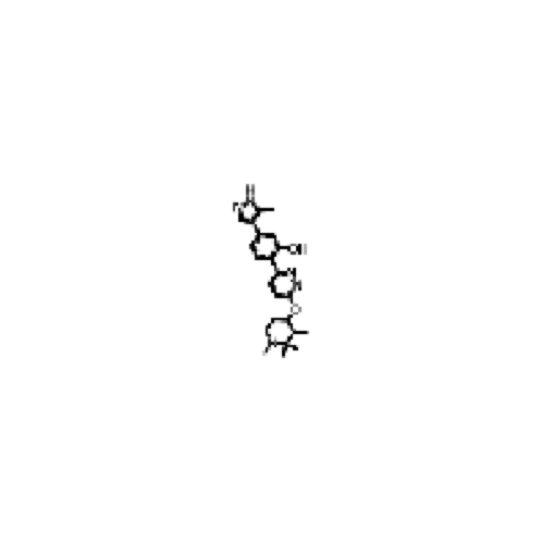 Cc1[nH]ncc1-c1ccc(-c2ccc(OC3CCN(C)C(C)(C)C3C)nn2)c(O)c1